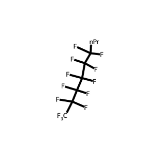 CCCC(F)(F)C(F)(F)C(F)(F)C(F)(F)C(F)(F)C(F)(F)F